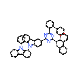 c1ccc(-c2ccccc2-c2nc(-c3ccc4c(c3)c3ccccc3n4-c3cccc4c5ccccc5n(-c5ccccc5)c34)nc(-c3cc4ccccc4c4ccccc34)n2)cc1